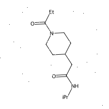 CCC(=O)N1CCC(CC(=O)NC(C)C)CC1